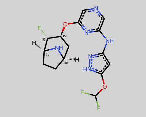 FC(F)Oc1cc(Nc2cncc(O[C@H]3C[C@H]4CC[C@H](N4)[C@@H]3F)n2)n[nH]1